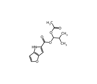 CC(=O)OC(OC(=O)c1cc2occc2[nH]1)C(C)C